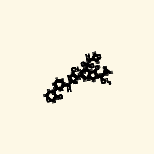 Cc1nc(Nc2cccc(N3CCOCC3=O)n2)sc1-c1cc2c(c(S(=O)(=O)NC3COC3)c1)C(=O)N(C(C)C1CC1)C2